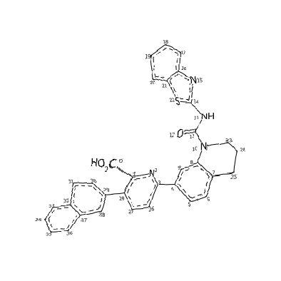 O=C(O)c1nc(-c2ccc3c(c2)N(C(=O)Nc2nc4ccccc4s2)CCC3)ccc1-c1ccc2ccccc2c1